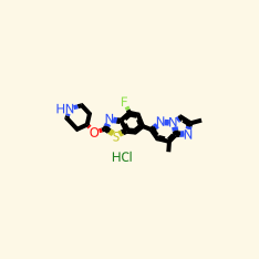 Cc1cn2nc(-c3cc(F)c4nc(OC5CCNCC5)sc4c3)cc(C)c2n1.Cl